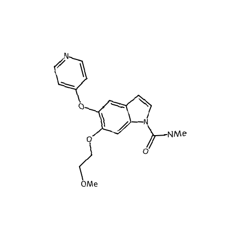 CNC(=O)n1ccc2cc(Oc3ccncc3)c(OCCOC)cc21